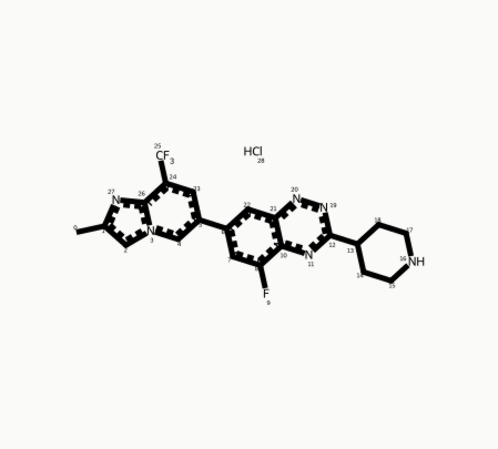 Cc1cn2cc(-c3cc(F)c4nc(C5CCNCC5)nnc4c3)cc(C(F)(F)F)c2n1.Cl